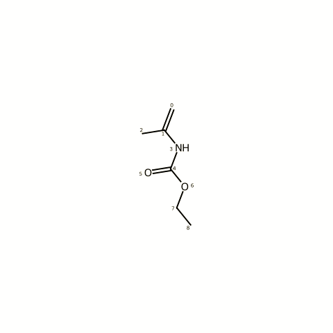 C=C(C)NC(=O)OCC